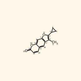 Cc1c(C2CC2)oc2cc3oc(=O)ccc3cc12